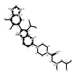 Cc1c(-c2[nH]c3ccc(N4CCN(C(=O)CN(C)CC(C)C)CC4)nc3c2C(C)C)cn2ncnc2c1C